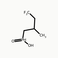 CC(C[PH](=O)O)CC(F)(F)F